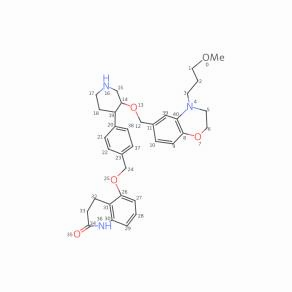 COCCCN1CCOc2ccc(COC3CNCCC3c3ccc(COc4cccc5c4CCC(=O)N5)cc3)cc21